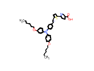 CCCCCCOc1ccc(N(c2ccc(/C=C/c3ccc(-c4ccc(C(=O)O)cn4)s3)cc2)c2ccc(OCCCCCC)cc2)cc1